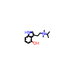 CC(C)[N+](C)(C)CCc1c[nH]c2cccc(O)c12